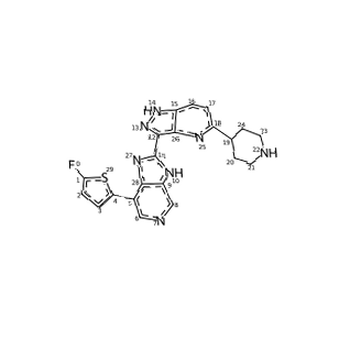 Fc1ccc(-c2cncc3[nH]c(-c4n[nH]c5ccc(C6CCNCC6)nc45)nc23)s1